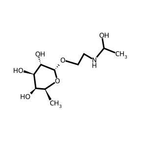 CC(O)NCCO[C@@H]1O[C@@H](C)[C@@H](O)[C@@H](O)[C@@H]1O